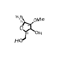 B[C@@H]1O[C@H](CO)C(O)[C@@H]1OC